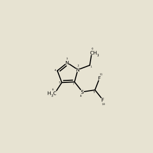 CCn1n[c]c(C)c1SC(F)F